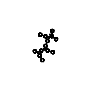 c1ccc(-c2cc(-c3ccccc3)nc(-n3c4ccc(-c5ccccc5)cc4c4cc(-c5ccc6c(c5)c5cc(-c7ccccc7)ccc5n6-c5ccc6c(c5)c5cc(-c7ccccc7)ccc5n6-c5ccccc5)ccc43)c2)cc1